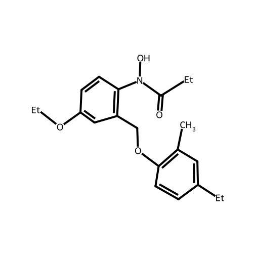 CCOc1ccc(N(O)C(=O)CC)c(COc2ccc(CC)cc2C)c1